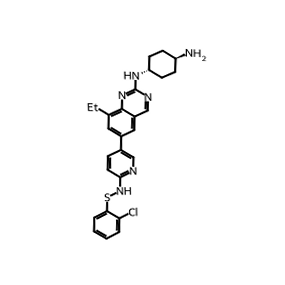 CCc1cc(-c2ccc(NSc3ccccc3Cl)nc2)cc2cnc(N[C@H]3CC[C@H](N)CC3)nc12